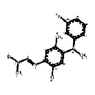 CCN(C)C=Nc1cc(C)c(N(C)c2cccc(F)c2)cc1Cl